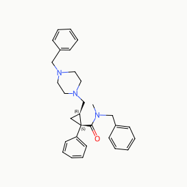 CN(Cc1ccccc1)C(=O)[C@@]1(c2ccccc2)C[C@H]1CN1CCN(Cc2ccccc2)CC1